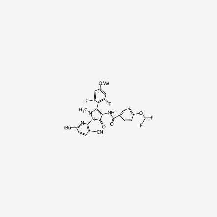 COc1cc(F)c(-c2c(NC(=O)c3ccc(OC(F)F)cc3)c(=O)n(-c3nc(C(C)(C)C)ccc3C#N)n2C)c(F)c1